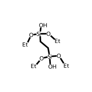 CCO[Si](O)(CC[Si](O)(OCC)OCC)OCC